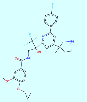 COc1cc(C(=O)NCC(O)(c2cc(C3(C)CCNC3)cc(-c3ccc(F)cc3)n2)C(F)(F)F)ccc1OC1CC1